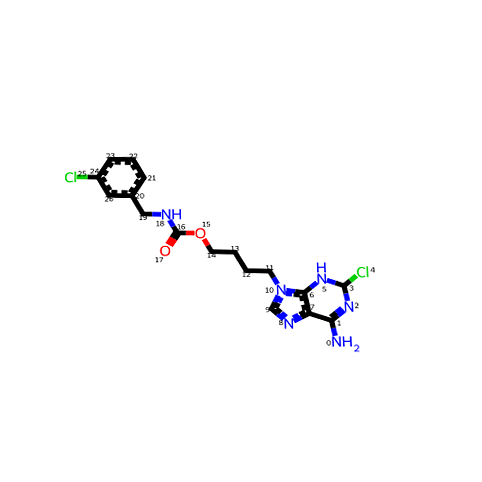 NC1=NC(Cl)Nc2c1ncn2CCCCOC(=O)NCc1cccc(Cl)c1